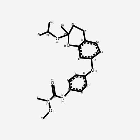 CON(C)C(=O)Nc1ccc(Oc2ccc3c(c2)OC(C)(OC(C)C)CC3)cc1